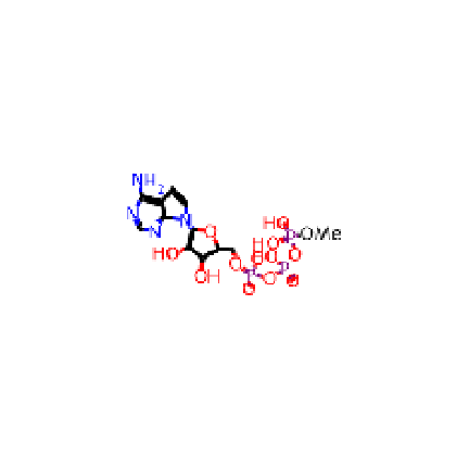 COP(=O)(O)OP(=O)(O)OP(=O)(O)OCC1OC(n2ccc3c(N)ncnc32)C(O)C1O